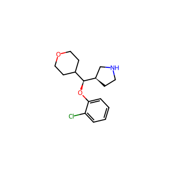 Clc1ccccc1O[C@@H](C1CCOCC1)[C@@H]1CCNC1